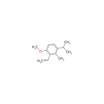 C=Cc1c(OC)ccc(C(C)C)c1C